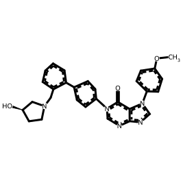 COc1ccc(-n2cnc3ncn(-c4ccc(-c5ccccc5CN5CC[C@@H](O)C5)cc4)c(=O)c32)cc1